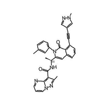 Cc1cccc(-n2c([C@H](C)NC(=O)c3c(C)nn4cccnc34)cc3cccc(C#Cc4cnn(C)c4)c3c2=O)c1